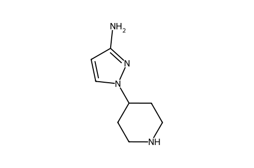 Nc1ccn(C2CCNCC2)n1